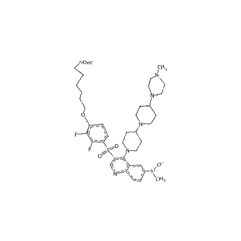 CCCCCCCCCCCCCCCCOc1ccc(S(=O)(=O)c2cnc3ccc([S+](C)[O-])cc3c2N2CCC(N3CCC(N4CCN(C)CC4)CC3)CC2)c(F)c1F